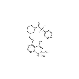 CC(C)(C(=O)N1CCCC(COc2cccc3c2C(N)=NS(O)(O)N3)C1)c1ccncc1